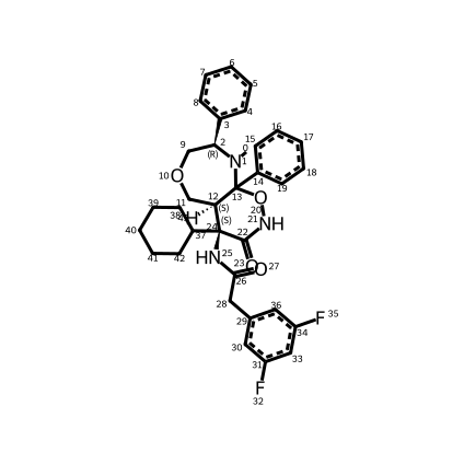 CN1[C@H](c2ccccc2)COC[C@H]2C1(c1ccccc1)ONC(=O)[C@]2(NC(=O)Cc1cc(F)cc(F)c1)C1CCCCC1